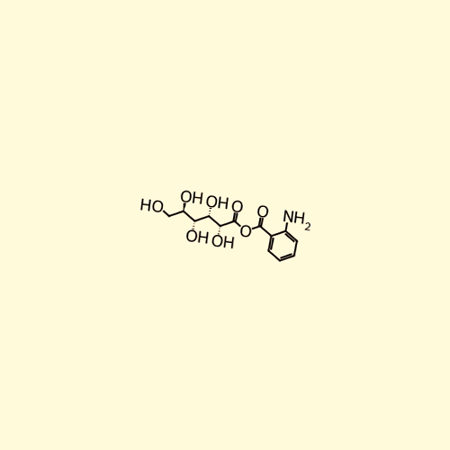 Nc1ccccc1C(=O)OC(=O)[C@H](O)[C@@H](O)[C@H](O)[C@H](O)CO